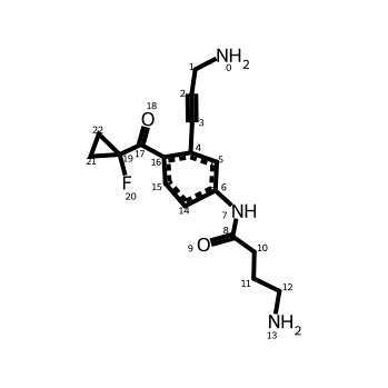 NCC#Cc1cc(NC(=O)CCCN)ccc1C(=O)C1(F)CC1